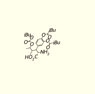 CCC(C)OC(=O)OC(C)C(C)C(c1ccc(OC(=O)C(C)CC)c(OC(=O)C(C)CC)c1)[C@H](N)C(=O)O